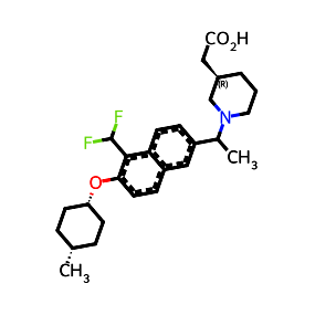 CC(c1ccc2c(C(F)F)c(O[C@H]3CC[C@@H](C)CC3)ccc2c1)N1CCC[C@H](CC(=O)O)C1